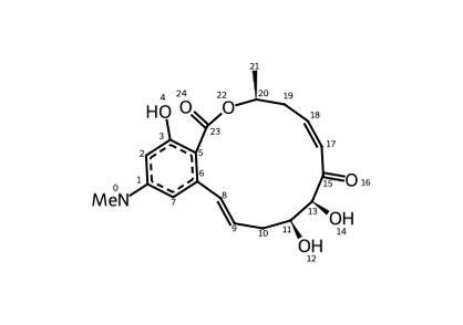 CNc1cc(O)c2c(c1)/C=C/C[C@H](O)[C@H](O)C(=O)/C=C\C[C@H](C)OC2=O